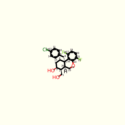 OC[C@H]1[C@@H](O)CC[C@@]2(Cc3ccc(Cl)cc3)c3c(F)ccc(F)c3OC[C@@H]12